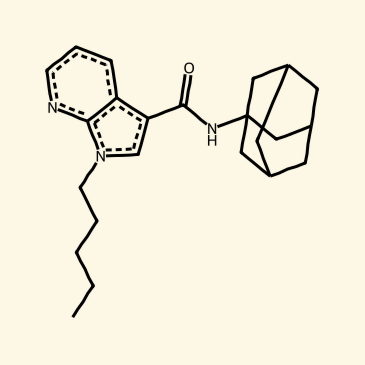 CCCCCn1cc(C(=O)NC23CC4CC(CC(C4)C2)C3)c2cccnc21